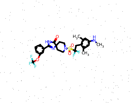 CNc1cc(C)c(CC(F)(F)S(=O)(=O)N2CCC3(CC2)N=C(c2cccc(OC(F)(F)F)c2)NC3=O)c(C)c1